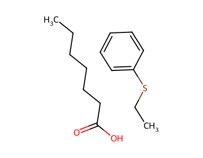 CCCCCCC(=O)O.CCSc1ccccc1